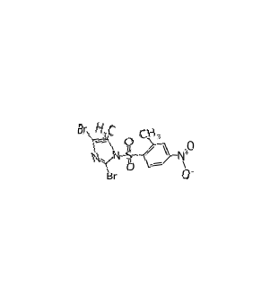 Cc1cc([N+](=O)[O-])ccc1S(=O)(=O)n1c(Br)nc(Br)c1C